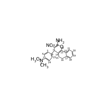 CN(C)c1ccc(C2C(C#N)=C(N)OC3=C2CCc2ccccc23)cc1